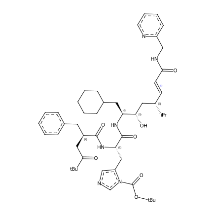 CC(C)[C@@H](/C=C/C(=O)NCc1ccccn1)C[C@H](O)[C@H](CC1CCCCC1)NC(=O)[C@H](Cc1cncn1C(=O)OC(C)(C)C)NC(=O)[C@@H](CC(=O)C(C)(C)C)Cc1ccccc1